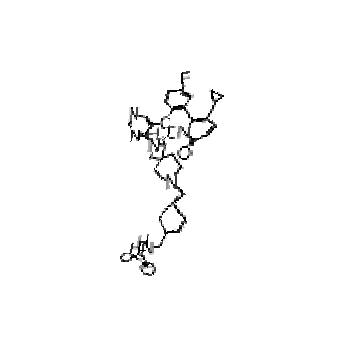 Cn1c(-c2cc(F)ccc2Oc2cncnc2N2CC3(CCN(CC4CCC(CN[SH](=O)=O)CC4)CC3)C2)c(C2CC2)ccc1=O